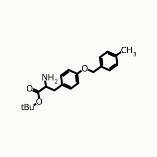 Cc1ccc(COc2ccc(CC(N)C(=O)OC(C)(C)C)cc2)cc1